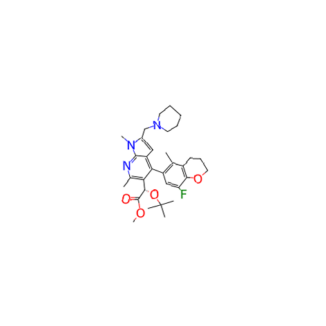 COC(=O)[C@@H](OC(C)(C)C)c1c(C)nc2c(cc(CN3CCCCC3)n2C)c1-c1cc(F)c2c(c1C)CCCO2